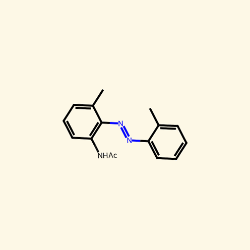 CC(=O)Nc1cccc(C)c1N=Nc1ccccc1C